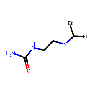 CCC(CC)NCCNC(N)=O